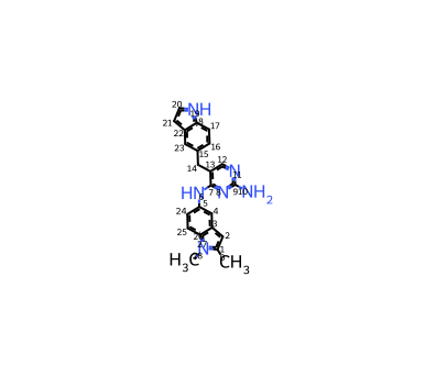 Cc1cc2cc(Nc3nc(N)ncc3Cc3ccc4[nH]ccc4c3)ccc2n1C